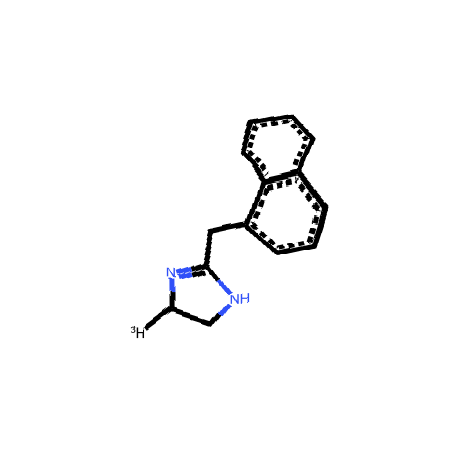 [3H]C1CNC(Cc2cccc3ccccc23)=N1